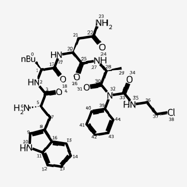 CCCC[C@H](NC(=O)[C@@H](N)Cc1c[nH]c2ccccc12)C(=O)N[C@@H](CC(N)=O)C(=O)N[C@@H](C)C(=O)N(C(=O)NCCCl)c1ccccc1